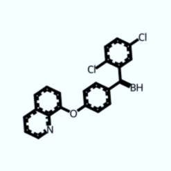 B=C(c1ccc(Oc2cccc3cccnc23)cc1)c1cc(Cl)ccc1Cl